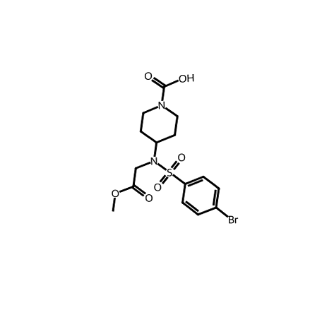 COC(=O)CN(C1CCN(C(=O)O)CC1)S(=O)(=O)c1ccc(Br)cc1